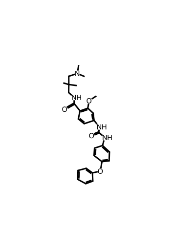 COc1cc(NC(=O)Nc2ccc(Oc3ccccc3)cc2)ccc1C(=O)NCC(C)(C)CN(C)C